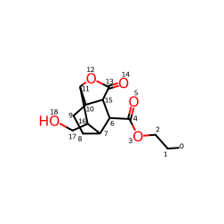 CCCOC(=O)C1C2CCC3C(OC(=O)C31)C2CO